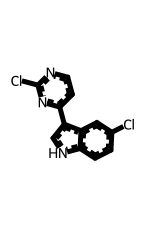 Clc1ccc2[nH]cc(-c3ccnc(Cl)n3)c2c1